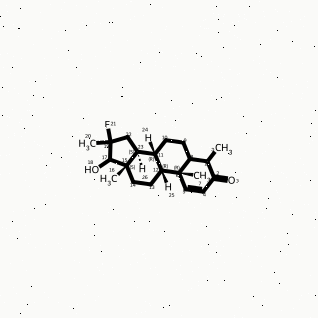 CC1C(=O)C=C[C@@]2(C)C1CC[C@@H]1[C@H]2CC[C@]2(C)C(O)C(C)(F)C[C@@H]12